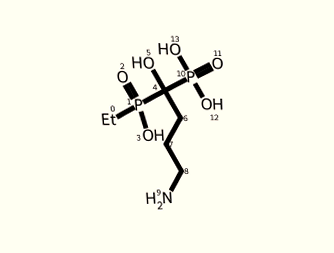 CCP(=O)(O)C(O)(CCCN)P(=O)(O)O